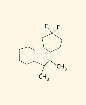 CC(C1CCCCC1)C(C)C1CCC(F)(F)CC1